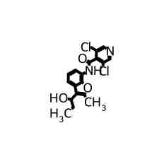 CCC(O)c1c(C)oc2c(NC(=O)c3c(Cl)cncc3Cl)cccc12